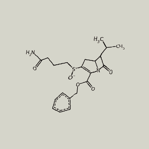 CC(C)C1C(=O)N2C(C(=O)OCc3ccccc3)=C([S+]([O-])CCCC(N)=O)CC12